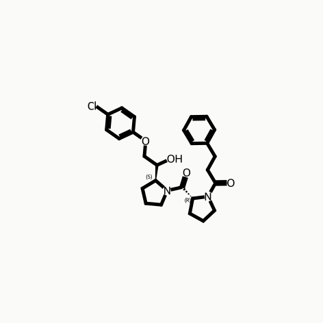 O=C(CCc1ccccc1)N1CCC[C@@H]1C(=O)N1CCC[C@H]1C(O)COc1ccc(Cl)cc1